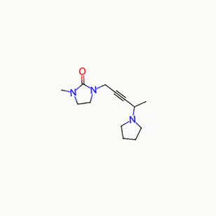 CC(C#CCN1CCN(C)C1=O)N1CCCC1